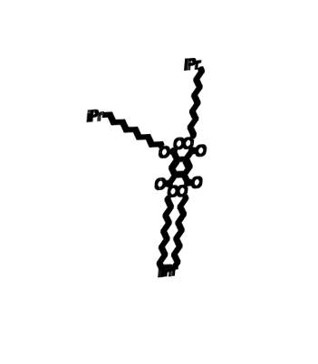 CC(C)CCCCCCCCCOC(=O)c1cc(C(=O)OCCCCCCCCCC(C)C)c(C(=O)OCCCCCCCCCC(C)C)cc1C(=O)OCCCCCCCCCC(C)C